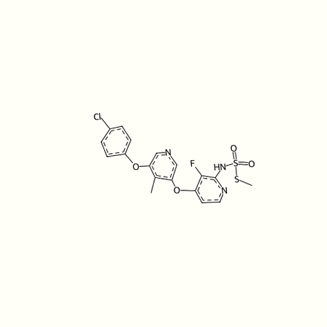 CSS(=O)(=O)Nc1nccc(Oc2cncc(Oc3ccc(Cl)cc3)c2C)c1F